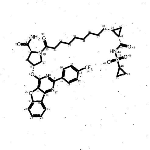 NC(=O)[C@@H]1C[C@@H](Oc2nc(-c3ccc(C(F)(F)F)cc3)nc3c2oc2ccccc23)CN1C(=O)CCCCCCCC[C@@H]1C[C@@H]1C(=O)NS(=O)(=O)C1CC1